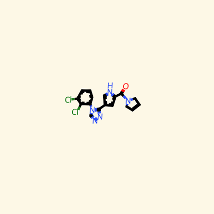 O=C(c1cc(-c2nncn2-c2cccc(Cl)c2Cl)c[nH]1)N1CC=CC1